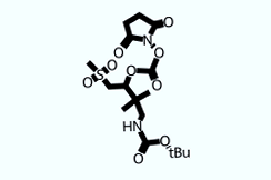 CC(C)(C)OC(=O)NCC(C)(C)C(CS(C)(=O)=O)OC(=O)ON1C(=O)CCC1=O